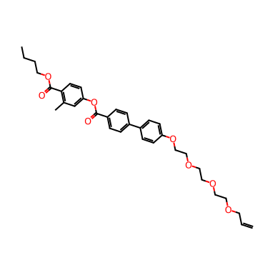 C=CCOCCOCCOCCOc1ccc(-c2ccc(C(=O)Oc3ccc(C(=O)OCCCC)c(C)c3)cc2)cc1